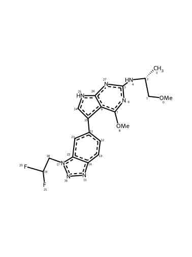 COC[C@@H](C)Nc1nc(OC)c2c(-c3ccc4nnn(CC(F)F)c4c3)c[nH]c2n1